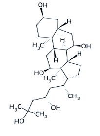 C[C@H](C[C@H](O)CC(C)(C)O)[C@H]1CC[C@H]2[C@@H]3[C@H](O)C[C@H]4C[C@H](O)CC[C@]4(C)[C@H]3C[C@H](O)[C@]12C